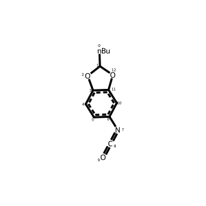 CCCCC1Oc2ccc(N=C=O)cc2O1